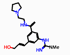 C=C(NCCN1CCCC1)c1cc(/C=C/CO)cc(NC(=N)NC)c1